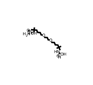 CC(C)(CCCCOCCCOCCCCC(C)(C)CP(N)(=O)O)CN[PH](=O)O